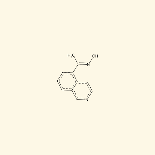 CC(=NO)c1cccc2cnccc12